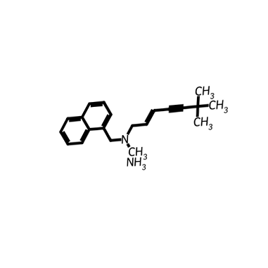 CN(C/C=C/C#CC(C)(C)C)Cc1cccc2ccccc12.N